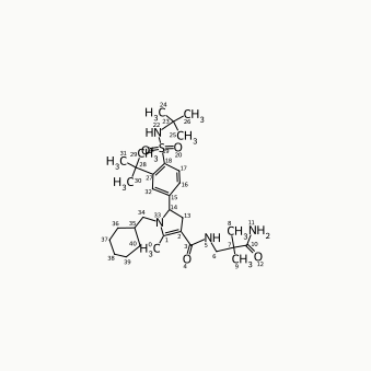 CC1=C(C(=O)NCC(C)(C)C(N)=O)CC(c2ccc(S(=O)(=O)NC(C)(C)C)c(C(C)(C)C)c2)N1CC1CCCCC1